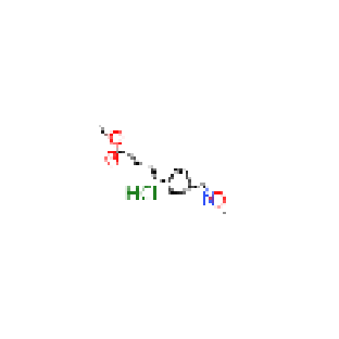 CCON=Cc1ccc(C=CC=CC(=O)OCC)cc1.Cl